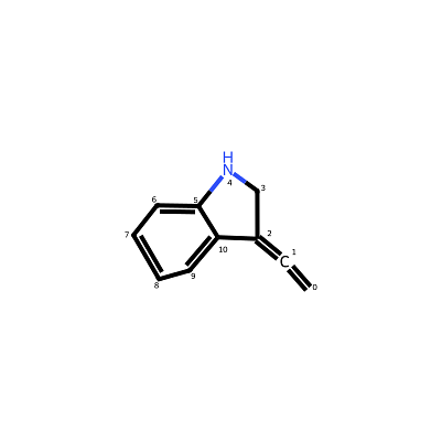 C=C=C1CNc2ccccc21